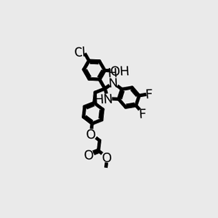 COC(=O)COc1ccc(CC2(c3ccc(Cl)cc3O)Nc3cc(F)c(F)cc3N2)cc1